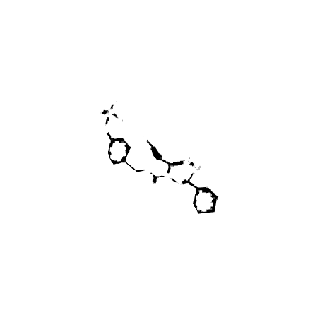 CCC#CC1=NNC(c2ccccc2)=NN1C(=O)OCc1ccc(OP(=O)(O)O)cc1